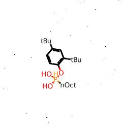 CCCCCCCC[PH](O)(O)Oc1ccc(C(C)(C)C)cc1C(C)(C)C